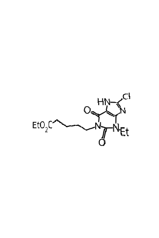 CCOC(=O)CCCCn1c(=O)c2[nH]c(Cl)nc2n(CC)c1=O